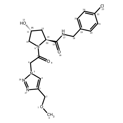 COCc1cn(CC(=O)N2C[C@H](O)C[C@H]2C(=O)NCc2ccc(Cl)cc2)nn1